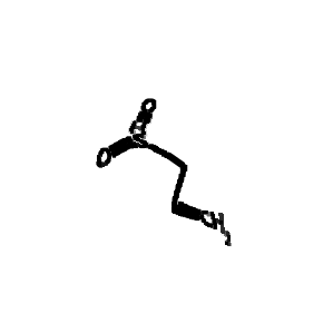 C=CC[SH](=O)=O